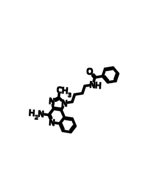 Cc1nc2c(N)nc3ccccc3c2n1CCCCNC(=O)c1ccccc1